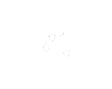 CC(Cc1ccccc1)NCCC(c1ccccc1)c1ccccc1.CC(O)C(=O)O